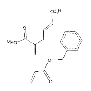 C=C(CC=CC(=O)O)C(=O)OC.C=CC(=O)OCc1ccccc1